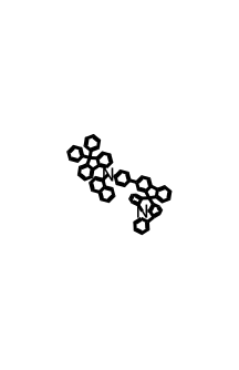 c1ccc(C2(c3ccccc3)c3ccccc3-c3c(N(c4ccc(-c5ccc6c(c5)C5(c7ccccc7-6)c6ccccc6-n6c7ccccc7c7cccc5c76)cc4)c4cccc5ccccc45)cccc32)cc1